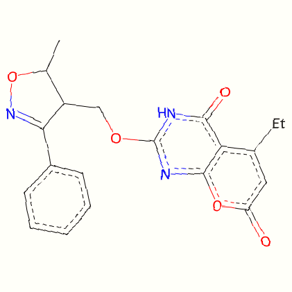 CCc1cc(=O)oc2nc(OCC3C(c4ccccc4)=NOC3C)[nH]c(=O)c12